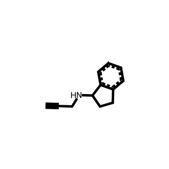 C#CCNC1CCc2cc[c]cc21